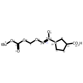 CC(C)(C)OC(=O)OCO/N=[N+](\[O-])N1CCC(C(=O)O)C1